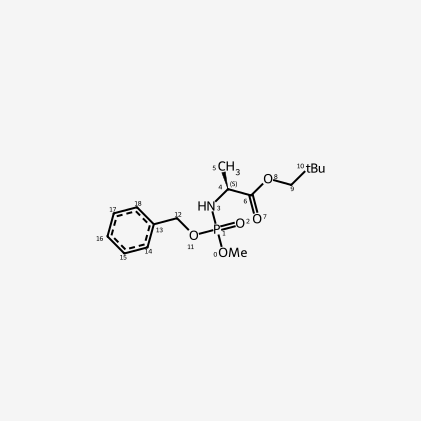 COP(=O)(N[C@@H](C)C(=O)OCC(C)(C)C)OCc1ccccc1